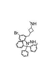 CNC1CC(Cc2cc(Br)ccc2N(N)C(c2ccccc2)(c2ccccc2)c2ccccc2)C1